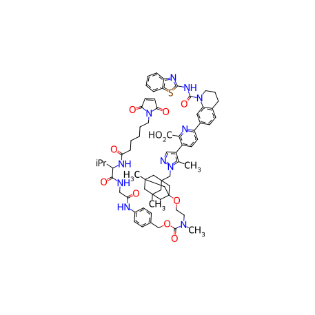 Cc1c(-c2ccc(-c3ccc4c(c3)N(C(=O)Nc3nc5ccccc5s3)CCC4)nc2C(=O)O)cnn1CC12CC3(C)CC(C)(C1)CC(OCCN(C)C(=O)OCc1ccc(NC(=O)CNC(=O)C(NC(=O)CCCCCN4C(=O)C=CC4=O)C(C)C)cc1)(C3)C2